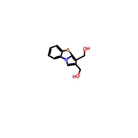 OCc1cn2c(sc3ccccc32)c1CO